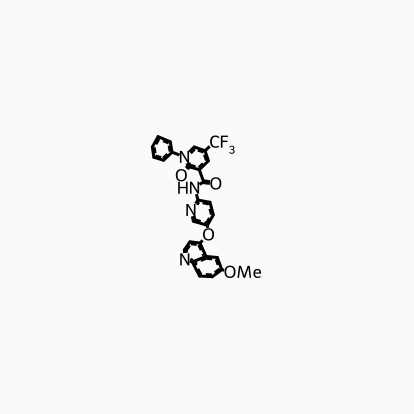 COc1ccc2nccc(Oc3ccc(NC(=O)c4cc(C(F)(F)F)cn(-c5ccccc5)c4=O)nc3)c2c1